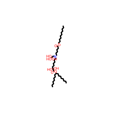 CCCCCCCCCCCOC(=O)CCCCCN(CCCCCCC(O)(O)C(=O)OC(CCCCCCCC)CCCCCCCC)CC(O)(O)O